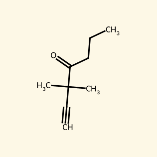 C#CC(C)(C)C(=O)CCC